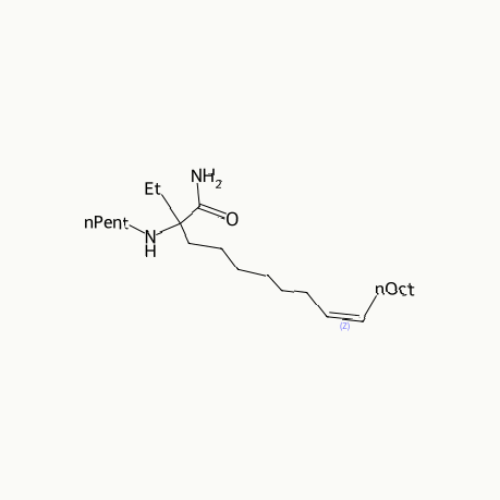 CCCCCCCC/C=C\CCCCCCC(CC)(NCCCCC)C(N)=O